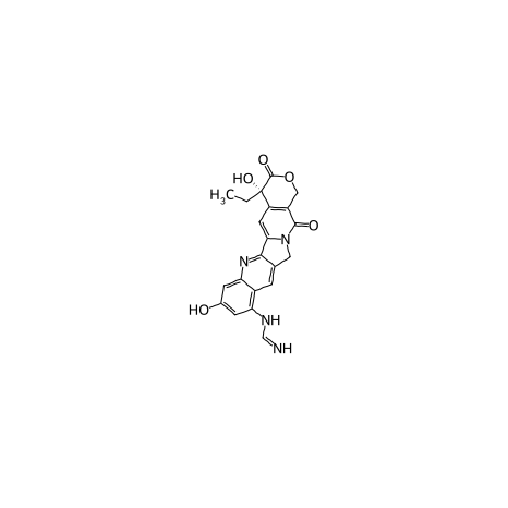 CC[C@@]1(O)C(=O)OCc2c1cc1n(c2=O)Cc2cc3c(NC=N)cc(O)cc3nc2-1